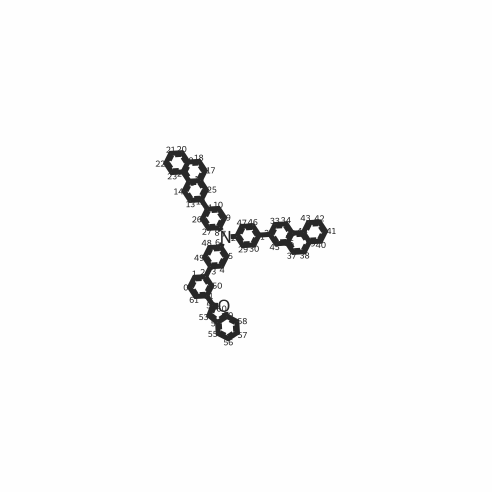 c1cc(-c2ccc(N(c3ccc(-c4ccc5c(ccc6ccccc65)c4)cc3)c3ccc(-c4ccc5c(ccc6ccccc65)c4)cc3)cc2)cc(-c2cc3ccccc3o2)c1